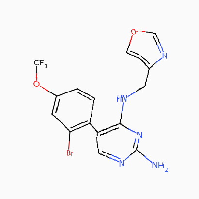 Nc1ncc(-c2ccc(OC(F)(F)F)cc2Br)c(NCc2cocn2)n1